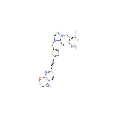 NCC(Cn1ncn(Cc2ccc(C#Cc3ccc4c(n3)OCCN4)s2)c1=O)=C(F)F